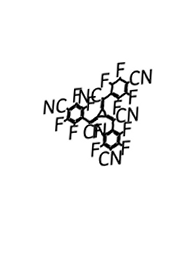 N#CC(=C1C(=C(\C#N)C2=C(F)C(F)=C(C#N)C(F)C2F)/C1=C(\C#N)c1c(F)c(F)c(C#N)c(F)c1F)c1c(F)c(F)c(C#N)c(F)c1F